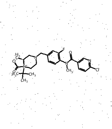 C[C@H]1CN(Cc2ccc(N(C)C(=O)c3ccc(Cl)nc3)c(F)c2)CC[N+]1(C(=O)[O-])C(C)(C)C